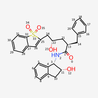 O=C(N[C@H]1c2ccccc2C[C@H]1O)[C@H](Cc1ccccc1)C[C@H](O)CC1=Cc2ccccc2S1(=O)=O